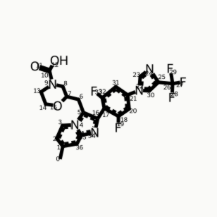 Cc1ccn2c(CC3CN(C(=O)O)CCO3)c(-c3c(F)cc(-n4cnc(C(F)(F)F)c4)cc3F)nc2c1